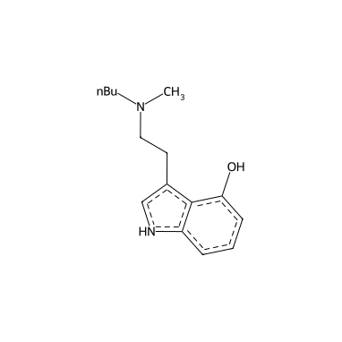 CCCCN(C)CCc1c[nH]c2cccc(O)c12